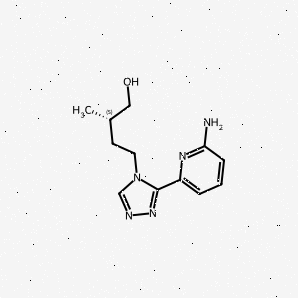 C[C@H](CO)CCn1cnnc1-c1cccc(N)n1